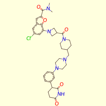 CN(C)C(=O)c1cc2cc(Cl)cc(N3CC(C(=O)N4CCC(CN5CCN(c6cccc(C7CCC(=O)NC7=O)c6)CC5)CC4)C3)c2o1